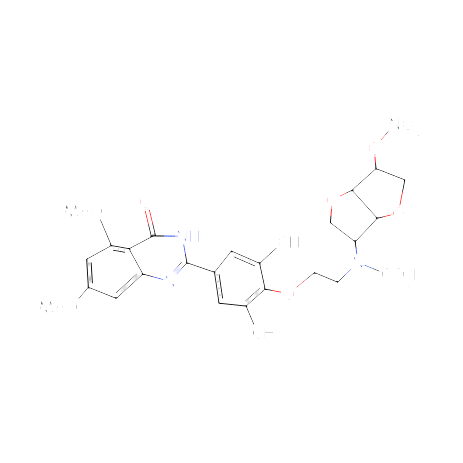 COc1cc(OC)c2c(=O)[nH]c(-c3cc(C)c(OCCN(C(=O)O)C4COC5C(O[N+](=O)[O-])COC54)c(C)c3)nc2c1